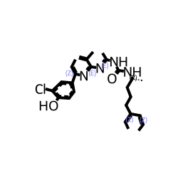 C=C(C)C(/N=C(\C)NC(=O)N[C@H](C)CCCC(/C=C\C)=C/C)=N\C(=C/C)c1ccc(O)c(Cl)c1